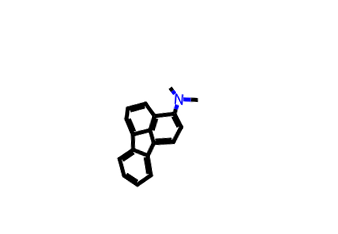 CN(C)c1ccc2c3c(cccc13)-c1ccccc1-2